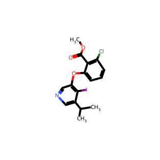 COC(=O)c1c(Cl)cccc1Oc1cncc(C(C)C)c1I